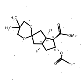 CCCC(=O)O[C@@H]1C[C@H]2CC3(C[C@H]2[C@H]1C(=O)OC)OCC(C)(C)CO3